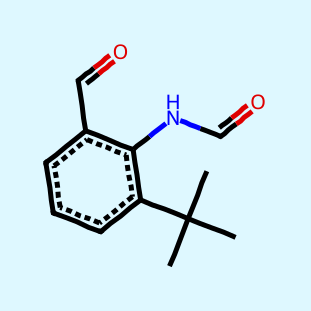 CC(C)(C)c1cccc(C=O)c1NC=O